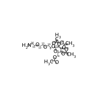 CC(=O)OCC1OC(OCCOCCOCCN)C(OC(C)=O)C(OC(C)=O)C1OC(C)=O